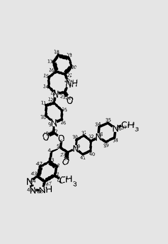 Cc1cc(C[C@@H](OC(=O)N2CCC(N3CCc4ccccc4NC3=O)CC2)C(=O)N2CCC(N3CCN(C)CC3)CC2)cc2nn[nH]c12